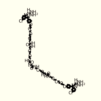 CN(CC(=O)NCCOCCOCCNC(=O)NCCOCCOCCOCCOc1ccc(-c2nc(NC(=N)N)nc3ccc(Cl)cc23)cc1)CC(=O)NCCOCCOCCNC(=O)NCCOCCOCCOCCOc1ccc(-c2nc(NC(=N)N)nc3ccc(Cl)cc23)cc1